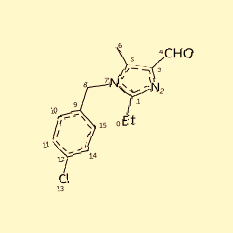 CCc1nc(C=O)c(C)n1Cc1ccc(Cl)cc1